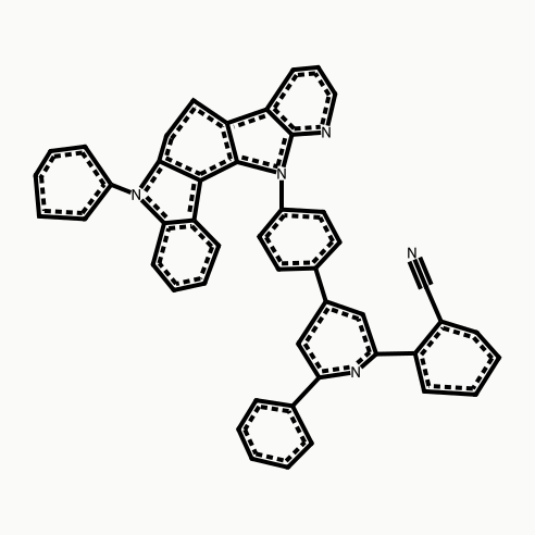 N#Cc1ccccc1-c1cc(-c2ccc(-n3c4ncccc4c4ccc5c(c6ccccc6n5-c5ccccc5)c43)cc2)cc(-c2ccccc2)n1